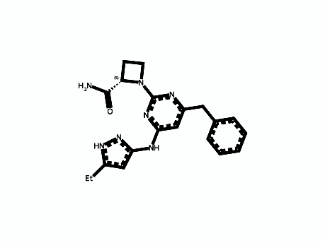 CCc1cc(Nc2cc(Cc3ccccc3)nc(N3CC[C@H]3C(N)=O)n2)n[nH]1